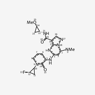 CNc1cc(Nc2cccn(C3C[C@H]3F)c2=O)nc2c(C(=O)N[C@@H]3C[C@H]3OC)cnn12